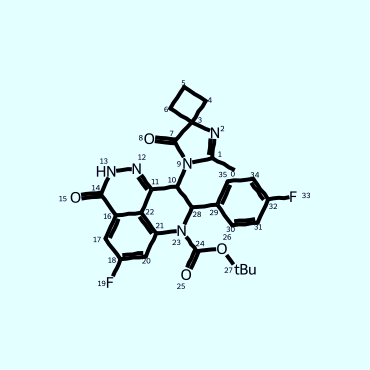 CC1=NC2(CCC2)C(=O)N1C1c2n[nH]c(=O)c3cc(F)cc(c23)N(C(=O)OC(C)(C)C)C1c1ccc(F)cc1